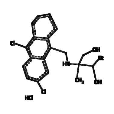 CCC(O)C(C)(CO)NCc1c2ccccc2c(Cl)c2ccc(Cl)cc12.Cl